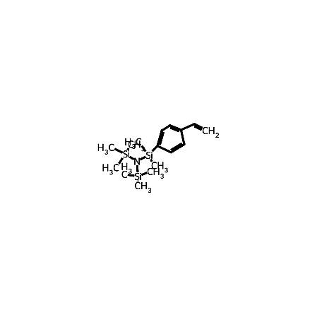 C=Cc1ccc([Si](C)(C)N([Si](C)(C)C)[Si](C)(C)C)cc1